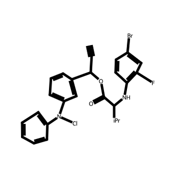 C#CC(OC(=O)C(Nc1ccc(Br)cc1F)C(C)C)c1cccc(N(Cl)c2ccccc2)c1